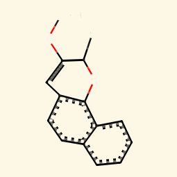 O=C(O)OC1=Cc2ccc3ccccc3c2OC1C(F)(F)F